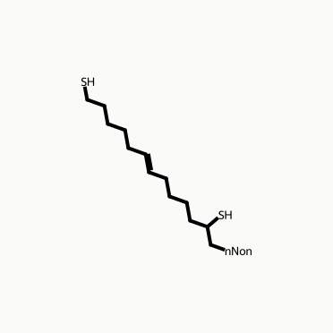 CCCCCCCCCCC(S)CCCCC=CCCCCCS